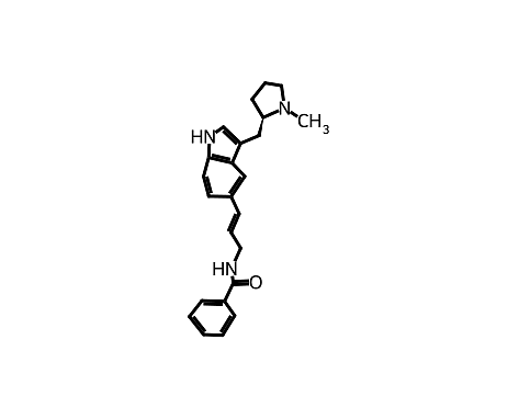 CN1CCC[C@@H]1Cc1c[nH]c2ccc(C=CCNC(=O)c3ccccc3)cc12